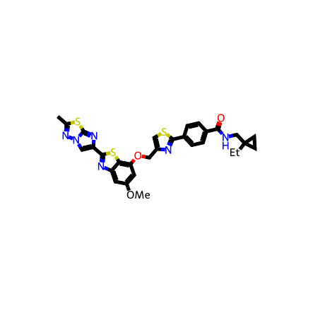 CCC1(CNC(=O)c2ccc(-c3nc(COc4cc(OC)cc5nc(-c6cn7nc(C)sc7n6)sc45)cs3)cc2)CC1